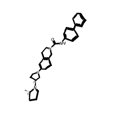 C[C@H]1CCCN1[C@H]1CCN(c2ccc3c(c2)CCN(C(=O)Nc2ccc(-c4ccccc4)cc2)C3)C1